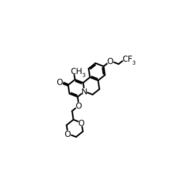 Cc1c2n(c(OCC3COCCO3)cc1=O)CCc1cc(OCC(F)(F)F)ccc1-2